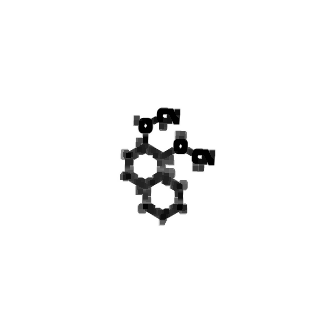 N#COc1ccc2ccccc2c1OC#N